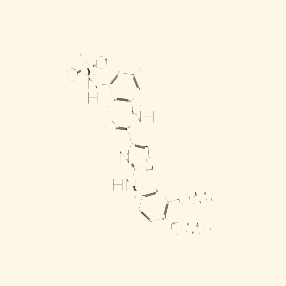 COc1ccc(Nc2nc(C(=O)Nc3cccc(NS(C)(=O)=O)c3)cs2)cc1OC